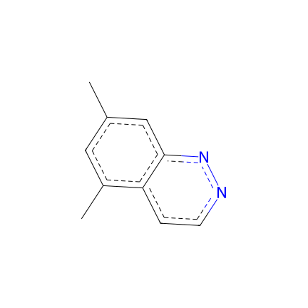 Cc1cc(C)c2ccnnc2c1